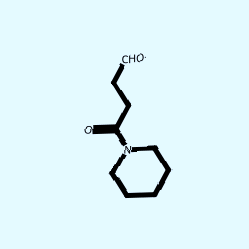 O=[C]CCC(=O)N1CCCCC1